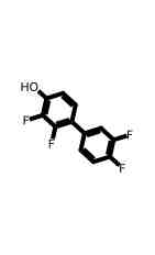 Oc1ccc(-c2ccc(F)c(F)c2)c(F)c1F